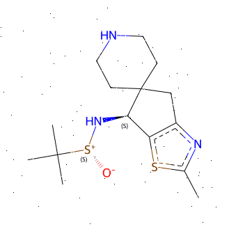 Cc1nc2c(s1)[C@@H](N[S@+]([O-])C(C)(C)C)C1(CCNCC1)C2